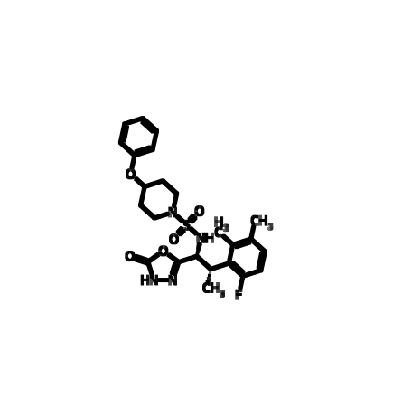 Cc1ccc(F)c([C@H](C)[C@H](NS(=O)(=O)N2CCC(Oc3ccccc3)CC2)c2n[nH]c(=O)o2)c1C